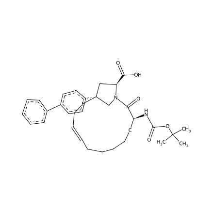 CC(C)(C)OC(=O)N[C@H]1CCCCC/C=C\CS[C@@]2(c3ccc(-c4ccccc4)cc3)C[C@@H](C(=O)O)N(C2)C1=O